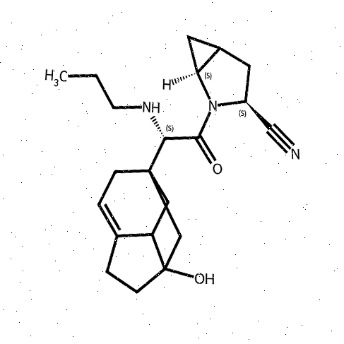 CCCN[C@H](C(=O)N1[C@H](C#N)CC2C[C@@H]21)C12CC=C3CCC(O)(C1)C3C2